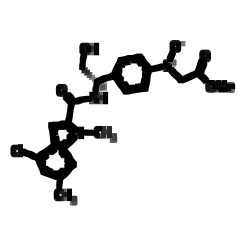 COC(=O)C[S+]([O-])c1ccc([C@@H](CO)NC(=O)c2cc3c(Cl)cc(C)cc3n2C)cc1